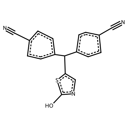 N#Cc1ccc(C(c2ccc(C#N)cc2)c2cnc(O)s2)cc1